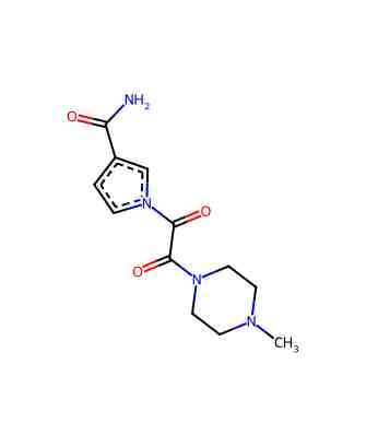 CN1CCN(C(=O)C(=O)n2ccc(C(N)=O)c2)CC1